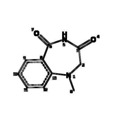 CN1CC(=O)NC(=O)c2ccccc21